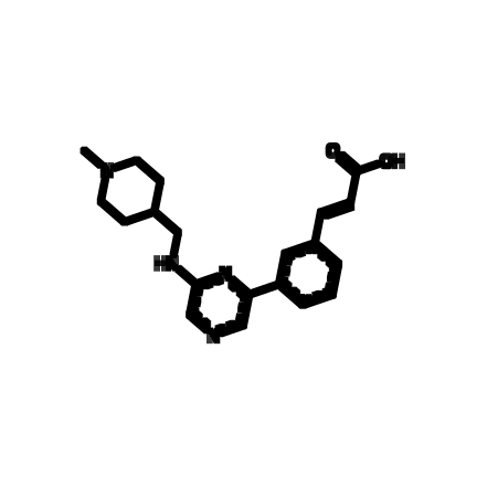 CN1CCC(CNc2cncc(-c3cccc(C=CC(=O)O)c3)n2)CC1